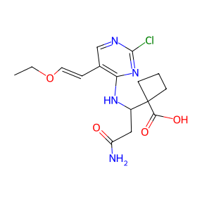 CCOC=Cc1cnc(Cl)nc1NC(CC(N)=O)C1(C(=O)O)CCC1